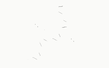 NCCc1cc(-c2cccs2)sc1-c1ccc(-c2sc(-c3ccc(I)s3)cc2CCN)s1